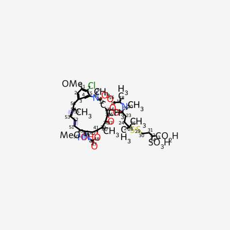 COc1cc2cc(c1Cl)N(C)C(=O)CC(OC(=O)C(C)N(C)C(=O)CCC(C)(C)SSCCC(C(=O)O)S(=O)(=O)O)C1(C)OC1C(C)C1CC(O)(NC(=O)O1)C(OC)/C=C/C=C(\C)C2